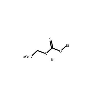 CCCCCCSC(=S)OCC.[K]